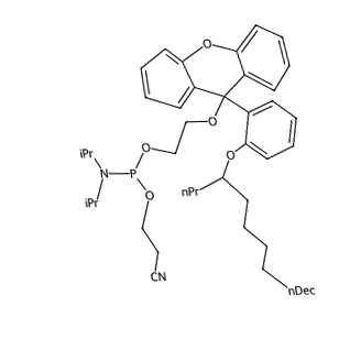 CCCCCCCCCCCCCCC(CCC)Oc1ccccc1C1(OCCOP(OCCC#N)N(C(C)C)C(C)C)c2ccccc2Oc2ccccc21